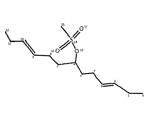 CCC=CCCC(CCC=CCC)OS(C)(=O)=O